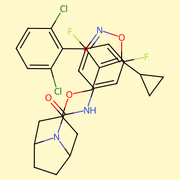 O=C(Nc1cc(F)cc(F)c1)N1C2CCC1CC(OCc1c(-c3c(Cl)cccc3Cl)noc1C1CC1)C2